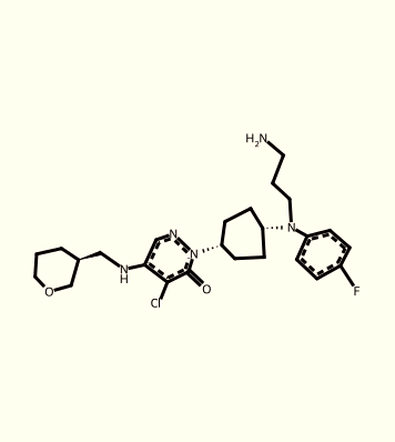 NCCCN(c1ccc(F)cc1)[C@H]1CC[C@@H](n2ncc(NC[C@@H]3CCCOC3)c(Cl)c2=O)CC1